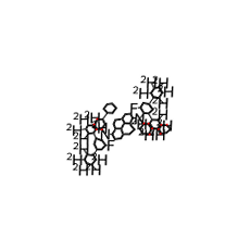 [2H]c1c([2H])c([2H])c(-c2cc(F)c(N(c3cccc(-c4ccccc4)c3)c3ccc4ccc5c(N(c6cccc(-c7ccccc7)c6)c6c(F)cc(-c7c([2H])c([2H])c([2H])c([2H])c7[2H])cc6-c6c([2H])c([2H])c([2H])c([2H])c6[2H])ccc6ccc3c4c65)c(-c3c([2H])c([2H])c([2H])c([2H])c3[2H])c2)c([2H])c1[2H]